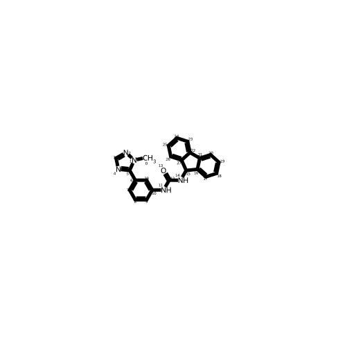 Cn1ncnc1-c1cccc(NC(=O)NC2c3ccccc3-c3ccccc32)c1